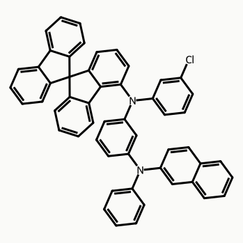 Clc1cccc(N(c2cccc(N(c3ccccc3)c3ccc4ccccc4c3)c2)c2cccc3c2-c2ccccc2C32c3ccccc3-c3ccccc32)c1